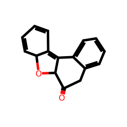 O=C1Cc2ccccc2C2=C3C=CC=CC3OC12